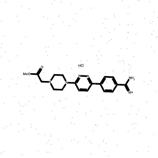 COC(=O)CN1CCN(c2ccc(-c3ccc(C(=N)N)cc3)nn2)CC1.Cl